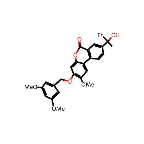 CCC(C)(O)c1ccc2c(c1)c(=O)oc1cc(OCc3cc(OC)cc(OC)c3)c(OC)cc12